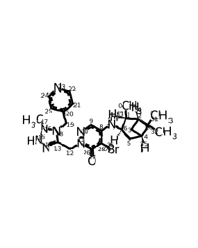 C[C@@H]1[C@H]2C[C@@H](C[C@H]1Nc1cnn(CC3=NNN(C)N3Cc3ccncc3)c(=O)c1Br)C2(C)C